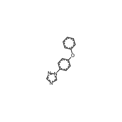 c1ccc(Oc2ccc(-n3cncn3)cc2)cc1